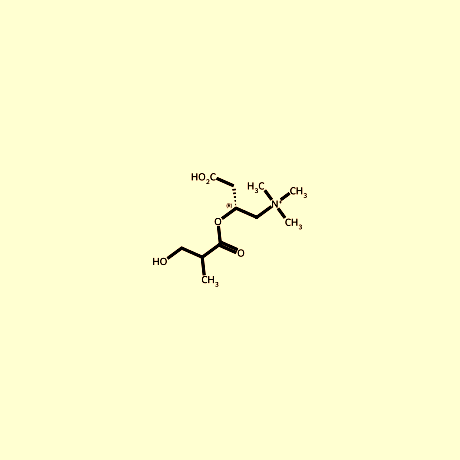 CC(CO)C(=O)O[C@H](CC(=O)O)C[N+](C)(C)C